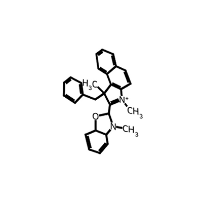 CN1C(C2=[N+](C)c3ccc4ccccc4c3C2(C)Cc2ccccc2)OC2C=CC=CC21